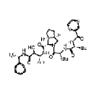 CCC[C@H](NC(=O)[C@@H]1[C@H]2CCC[C@H]2CN1C(=O)[C@@H](NC(=O)[C@@H](NC(=O)c1cnccn1)C(C)CC)C(C)(C)C)C(O)C(=O)N[C@@H](C)c1ccccc1